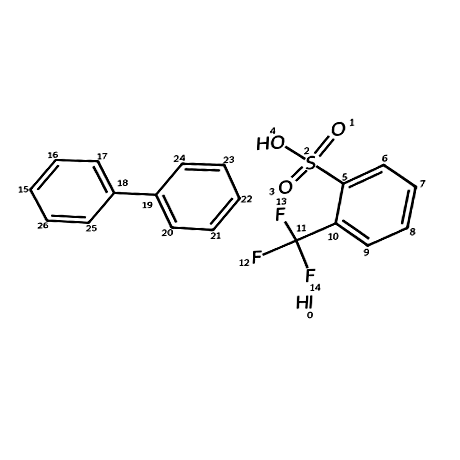 I.O=S(=O)(O)c1ccccc1C(F)(F)F.c1ccc(-c2ccccc2)cc1